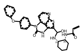 C=CC(=O)N[C@@H]1CCCC[C@@H]1NC(O)c1sc2nccc3c2c1NC(=O)N3c1ccc(Oc2ccccc2)cc1